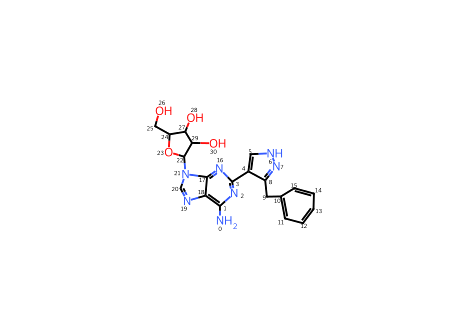 Nc1nc(-c2c[nH]nc2Cc2ccccc2)nc2c1ncn2C1OC(CO)C(O)C1O